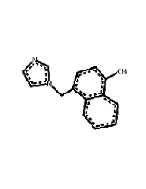 N#Cc1ccc(Cn2ccnc2)c2ccccc12